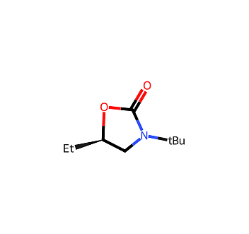 CC[C@@H]1CN(C(C)(C)C)C(=O)O1